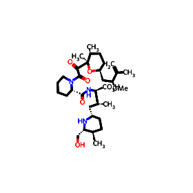 C=C(C)[C@H](C[C@@H]1CC[C@@H](C)[C@](C)(C(=O)C(=O)N2CCCC[C@H]2C(=O)N[C@@H](C(=O)O)[C@H](C)C[C@@H]2CC[C@@H](C)[C@H](CO)N2)O1)OC